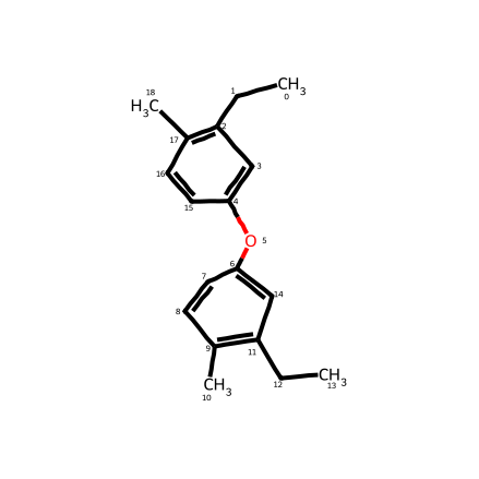 CCc1cc(Oc2ccc(C)c(CC)c2)ccc1C